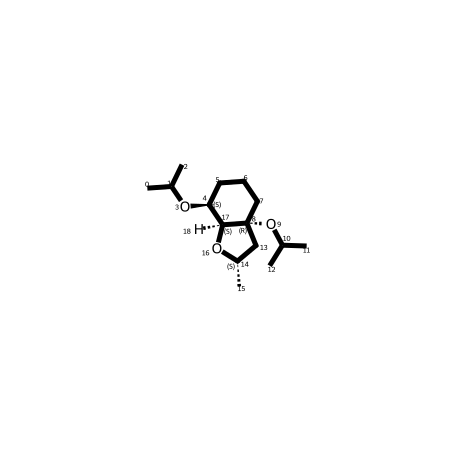 CC(C)O[C@H]1CCC[C@@]2(OC(C)C)C[C@H](C)O[C@@H]12